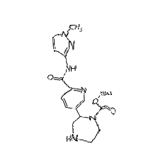 Cn1ccc(NC(=O)c2ccc(C3CNCCN3C(=O)OC(C)(C)C)cn2)n1